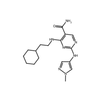 Cn1cc(Nc2ncc(C(N)=O)c(NCCC3CCCCC3)n2)cn1